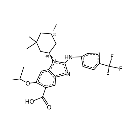 CC(C)Oc1cc2c(cc1C(=O)O)nc(Nc1ccc(C(F)(F)F)cc1)n2[C@@H]1C[C@@H](C)CC(C)(C)C1